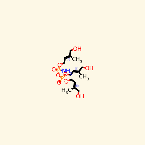 C/C(=C\COP(N)(=O)OP(=O)(OC/C=C(\C)CO)OC/C=C(\C)CO)CO